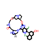 CN1CCO[C@H]2CN3CCC[C@]3(COc3nc(c4cnc(-c5cc(O)cc6cccc(F)c56)c(F)c4n3)N3C[C@@H]4CC[C@](CC1=O)(C3)N4)C2